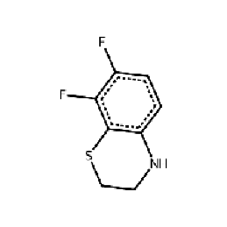 Fc1ccc2c(c1F)SCCN2